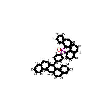 O=P(c1ccc(-c2c3ccc4ccccc4c3cc3ccc4ccccc4c23)cc1)(c1cccc2ccccc12)c1cccc2ccccc12